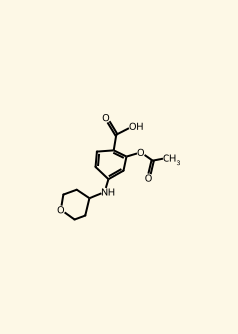 CC(=O)Oc1cc(NC2CCOCC2)ccc1C(=O)O